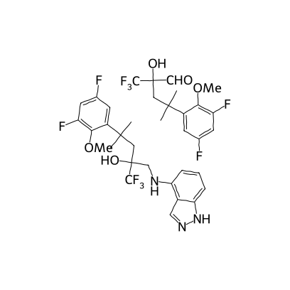 COc1c(F)cc(F)cc1C(C)(C)CC(O)(C=O)C(F)(F)F.COc1c(F)cc(F)cc1C(C)(C)CC(O)(CNc1cccc2[nH]ncc12)C(F)(F)F